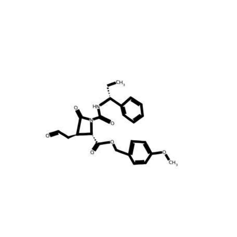 CC[C@@H](NC(=O)N1C(=O)[C@H](CC=O)[C@H]1C(=O)OCc1ccc(OC)cc1)c1ccccc1